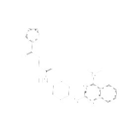 CN(C)c1nc(N[C@H]2CC[C@@H](NC(=O)CCC(=O)c3cccs3)CC2)nc2ccccc12